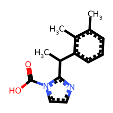 Cc1cccc(C(C)c2nccn2C(=O)O)c1C